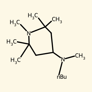 CCCCN(C)C1CC(C)(C)N(C)C(C)(C)C1